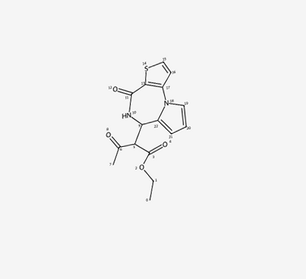 CCOC(=O)C(C(C)=O)C1NC(=O)c2sccc2-n2cccc21